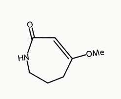 COC1=CC(=O)NCCC1